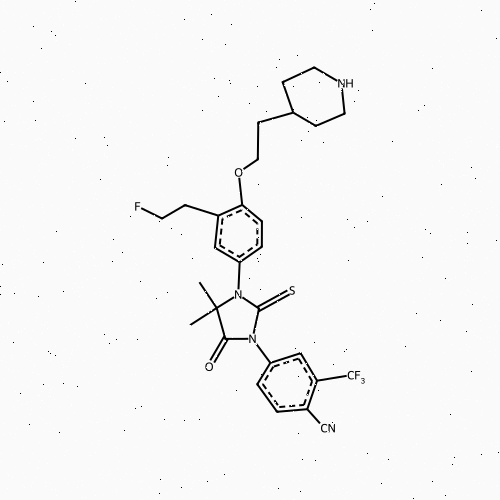 CC1(C)C(=O)N(c2ccc(C#N)c(C(F)(F)F)c2)C(=S)N1c1ccc(OCCC2CCNCC2)c(CCF)c1